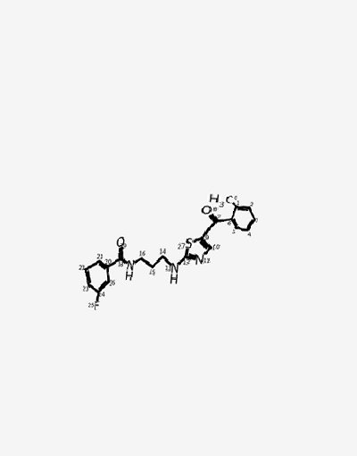 Cc1ccccc1C(=O)c1cnc(NCCCNC(=O)c2cccc(F)c2)s1